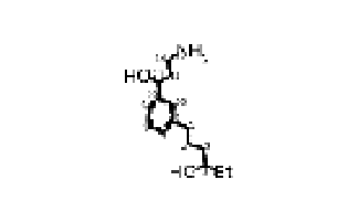 CCC(O)CCCc1cccc(C(O)CCN)c1